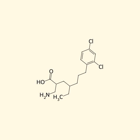 CCC(CCCc1ccc(Cl)cc1Cl)CC(CN)C(=O)O